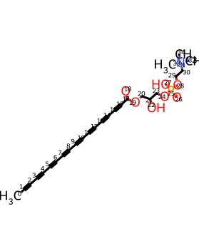 CC#CC#CC#CC#CC#CC#CC#CC#CC(=O)OCC(O)COP(=O)(O)OCC[N+](C)(C)C